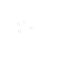 O=C(Cc1ccccc1)Cc1nnn[nH]1